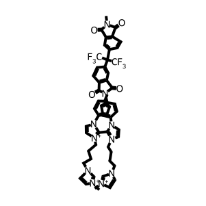 Cc1ccc(-n2cc[n+](CCCCn3cc[n+](C)c3)c2-c2n(-c3ccc(N4C(=O)c5ccc(C(c6ccc7c(c6)C(=O)N(C)C7=O)(C(F)(F)F)C(F)(F)F)cc5C4=O)cc3)cc[n+]2CCCCn2cc[n+](C)c2)cc1